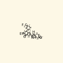 CCn1cc(-c2cccc(C(F)(F)F)c2)c2sc(C(=N)NC3CC[S+]([O-])CC3)cc2c1=O